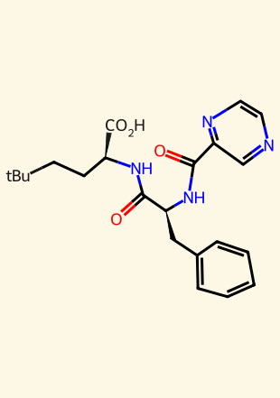 CC(C)(C)CC[C@H](NC(=O)[C@H](Cc1ccccc1)NC(=O)c1cnccn1)C(=O)O